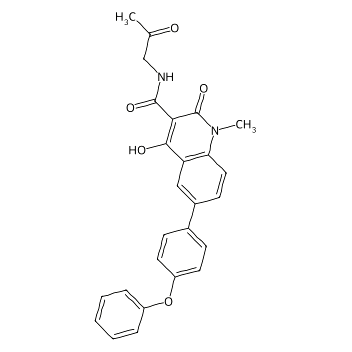 CC(=O)CNC(=O)c1c(O)c2cc(-c3ccc(Oc4ccccc4)cc3)ccc2n(C)c1=O